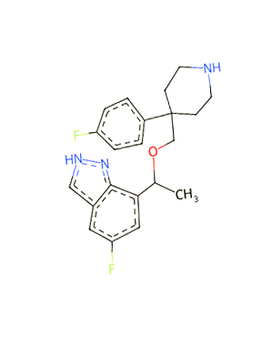 CC(OCC1(c2ccc(F)cc2)CCNCC1)c1cc(F)cc2c[nH]nc12